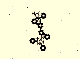 Cc1ccccc1-c1c(C)c2cccc3c4cc(-c5ccc6c(c5)c5ccccc5n6-c5nc(-c6ccccc6)nc(-c6ccccc6)n5)ccc4n1c23